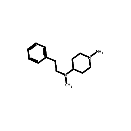 CN(CCc1ccccc1)C1CCN(N)CC1